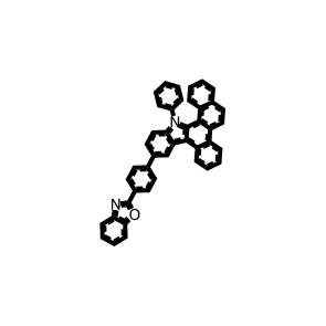 c1ccc(-n2c3ccc(-c4ccc(-c5nc6ccccc6o5)cc4)cc3c3c4ccccc4c4ccc5ccccc5c4c32)cc1